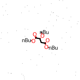 CCCCOC(=O)CC(OCCCC)C(=O)OCCCC